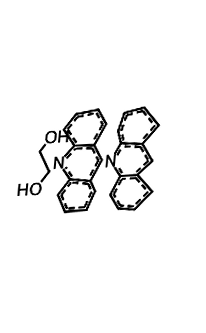 OCCO.c1ccc2nc3ccccc3cc2c1.c1ccc2nc3ccccc3cc2c1